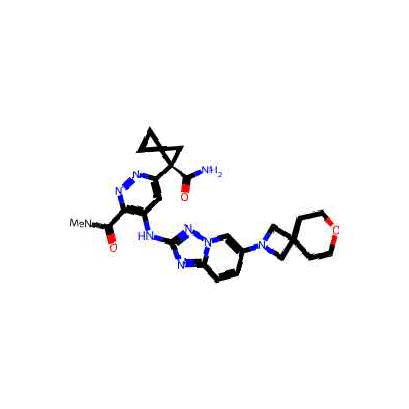 CNC(=O)c1nnc([C@@]2(C(N)=O)CC23CC3)cc1Nc1nc2ccc(N3CC4(CCOCC4)C3)cn2n1